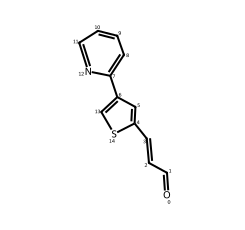 O=CC=Cc1cc(-c2ccccn2)cs1